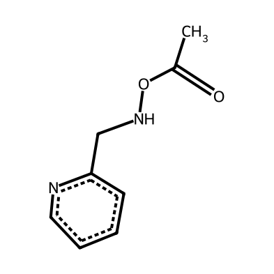 CC(=O)ONCc1ccccn1